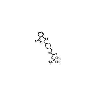 CC(C)(C)OC(=O)NCC1CCC(CNc2ccccc2[N+](=O)[O-])CC1